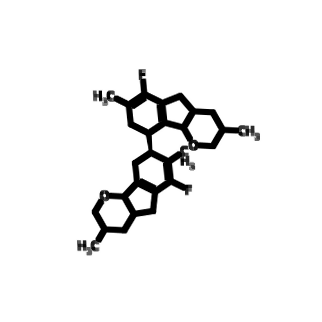 CC1=C(F)C2=C(C3OCC(C)CC3C2)C([C@@H]2CC3=C(CC4CC(C)COC34)C(F)=C2C)C1